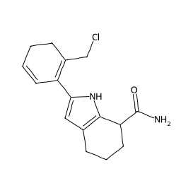 NC(=O)C1CCCc2cc(C3=C(CCl)CCC=C3)[nH]c21